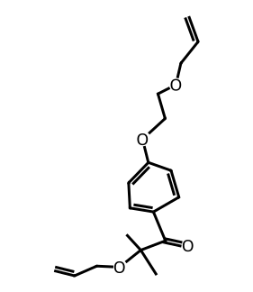 C=CCOCCOc1ccc(C(=O)C(C)(C)OCC=C)cc1